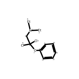 CCN(CC)CC(Cl)(Cl)Oc1ccccc1